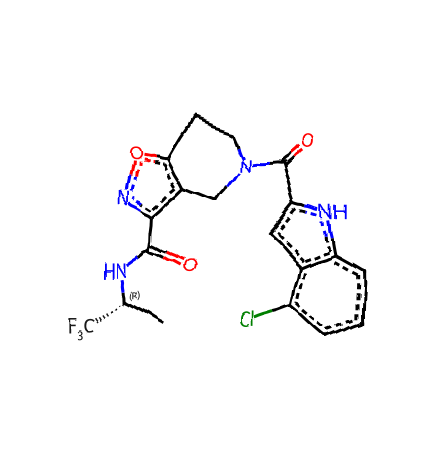 C[C@@H](NC(=O)c1noc2c1CN(C(=O)c1cc3c(Cl)cccc3[nH]1)CC2)C(F)(F)F